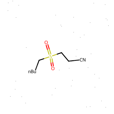 CCCCCS(=O)(=O)CCC#N